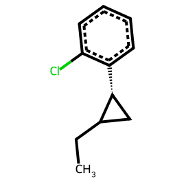 CCC1C[C@H]1c1ccccc1Cl